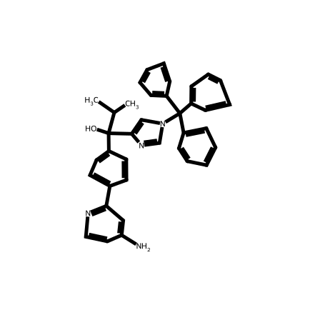 CC(C)C(O)(c1ccc(-c2cc(N)ccn2)cc1)c1cn(C(c2ccccc2)(c2ccccc2)c2ccccc2)cn1